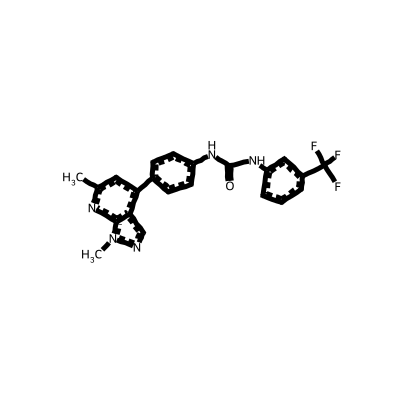 Cc1cc(-c2ccc(NC(=O)Nc3cccc(C(F)(F)F)c3)cc2)c2cnn(C)c2n1